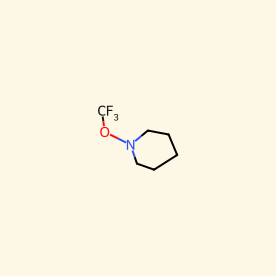 FC(F)(F)ON1CCCCC1